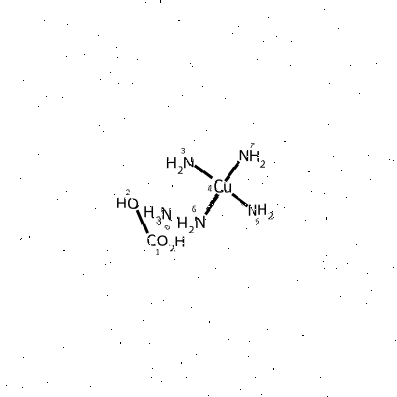 N.O=C(O)O.[NH2][Cu]([NH2])([NH2])[NH2]